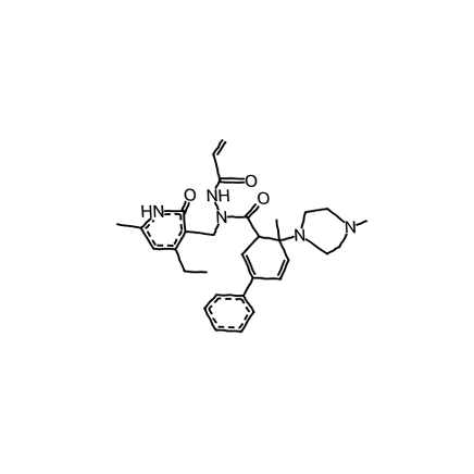 C=CC(=O)NN(Cc1c(CC)cc(C)[nH]c1=O)C(=O)C1C=C(c2ccccc2)C=CC1(C)N1CCN(C)CC1